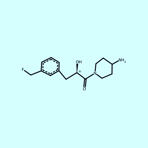 NC1CCN(C(=O)[C@H](O)Cc2cccc(CF)c2)CC1